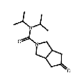 CC(C)N(C(=O)N1CC2CC(=O)CC2C1)C(C)C